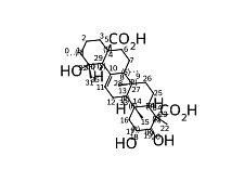 C[C@@H]1CC[C@]2(C(=O)O)CC[C@]3(C)C(=CC[C@@H]4[C@@]5(C)C[C@@H](O)[C@H](O)[C@](C)(C(=O)O)[C@@H]5CC[C@]43C)[C@@H]2[C@]1(C)O